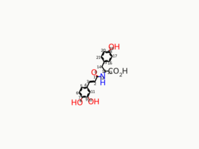 O=C(C=Cc1ccc(O)c(O)c1)N[C@@H](Cc1ccc(O)cc1)C(=O)O